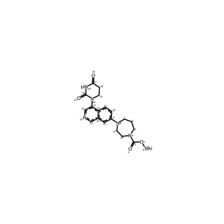 CC(C)(C)OC(=O)N1CCCN(c2ccc3c(N4CCC(=O)NC4=O)cncc3c2)CC1